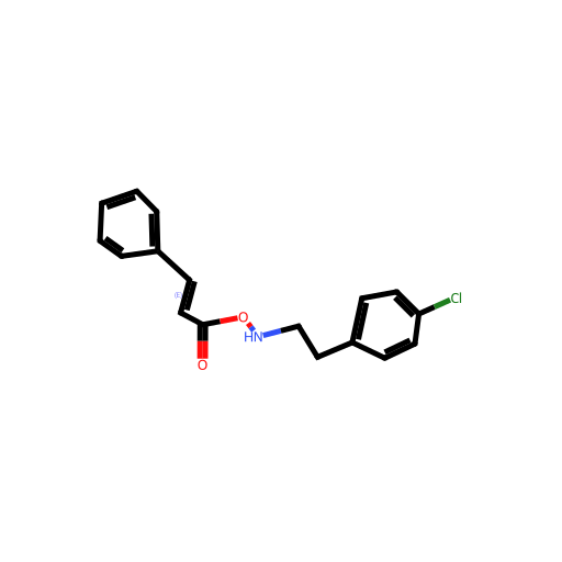 O=C(/C=C/c1ccccc1)ONCCc1ccc(Cl)cc1